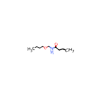 CCCCOCNC(=O)CCC